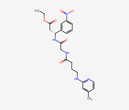 CCOC(=O)C[C@@H](NC(=O)CNC(=O)CCCNc1cc(C)ccn1)c1cccc([N+](=O)[O-])c1